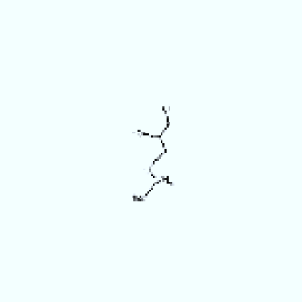 C[SiH](OC[C@@H](O)CCl)C(C)(C)C